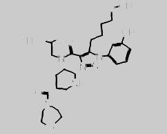 COCCCCc1c(C(=O)N(CC(C)C)[C@@H]2CNC[C@H](C(=O)N3CCOCC3)C2)nnn1-c1cccc(C)c1